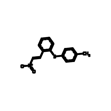 Cc1ccc(Sc2ccccc2/C=C/[N+](=O)[O-])cc1